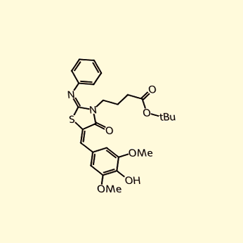 COc1cc(C=C2SC(=Nc3ccccc3)N(CCCC(=O)OC(C)(C)C)C2=O)cc(OC)c1O